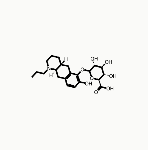 CCCN1CCC[C@@H]2Cc3c(ccc(O)c3OC3O[C@H](C(=O)O)[C@@H](O)[C@H](O)[C@H]3O)C[C@H]21